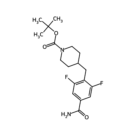 CC(C)(C)OC(=O)N1CCC(Cc2c(F)cc(C(N)=O)cc2F)CC1